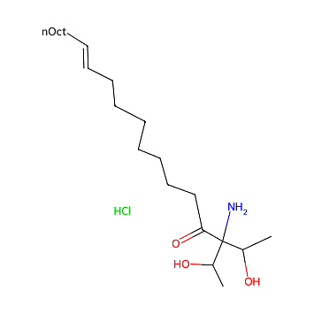 CCCCCCCCC=CCCCCCCCC(=O)C(N)(C(C)O)C(C)O.Cl